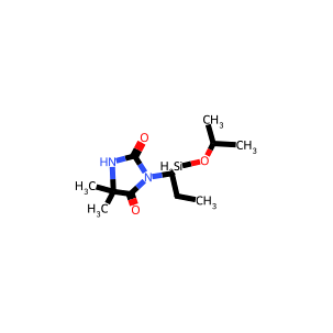 CCC([SiH2]OC(C)C)N1C(=O)NC(C)(C)C1=O